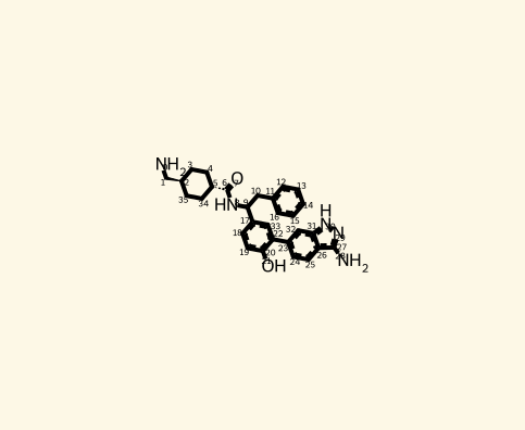 NC[C@H]1CC[C@H](C(=O)NC(Cc2ccccc2)c2ccc(O)c(-c3ccc4c(N)n[nH]c4c3)c2)CC1